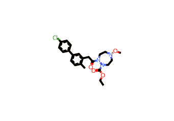 CCOC(=O)N1CCN(OC)CCN1C(=O)Cc1cc(-c2ccc(Cl)cc2)ccc1C